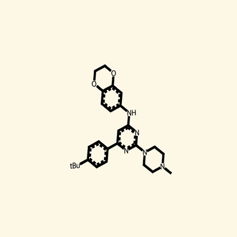 CN1CCN(c2nc(Nc3ccc4c(c3)OCCO4)cc(-c3ccc(C(C)(C)C)cc3)n2)CC1